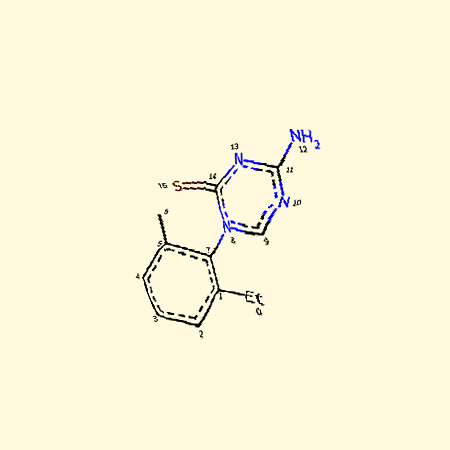 CCc1cccc(C)c1-n1cnc(N)nc1=S